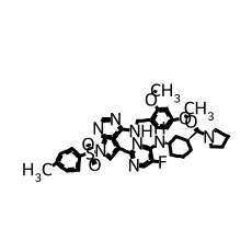 COc1ccc(CNc2ncnc3c2c(-c2ncc(F)c(N[C@@H]4CCC[C@H](C(=O)N5CCCC5)C4)n2)cn3S(=O)(=O)c2ccc(C)cc2)c(OC)c1